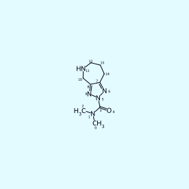 CN(C)C(=O)n1nc2c(n1)CNCCC2